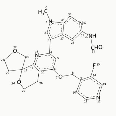 Cn1cc(-c2cc(OCc3ccncc3F)c3c(n2)C2(CCOC2)OCC3)c2cc(NC=O)ncc21